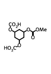 COC(=O)OC1CC(OC(=O)O)CC(OC(=O)O)C1